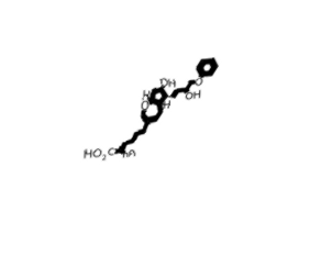 CCCC(CCCCC1=CC[C@@H]2[C@@H](/C=C/C(O)COc3ccccc3)[C@H](O)C[C@@H]2OC1)C(=O)O